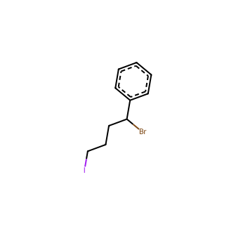 BrC(CCCI)c1ccccc1